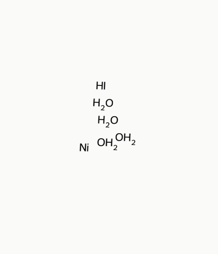 I.O.O.O.O.[Ni]